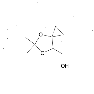 CC1(C)OC(CO)C2(CC2)O1